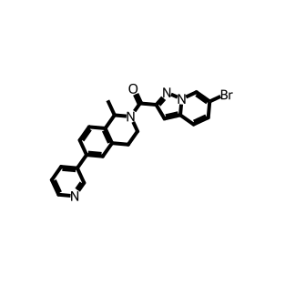 CC1c2ccc(-c3cccnc3)cc2CCN1C(=O)c1cc2ccc(Br)cn2n1